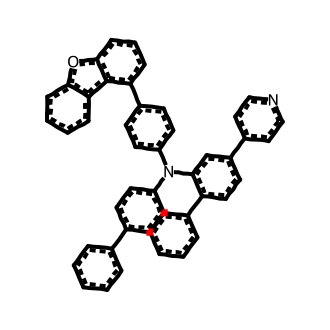 c1ccc(-c2ccc(N(c3ccc(-c4cccc5oc6ccccc6c45)cc3)c3cc(-c4ccncc4)ccc3-c3ccccc3)cc2)cc1